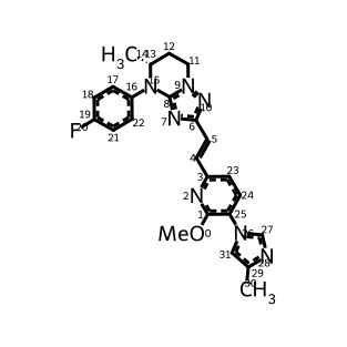 COc1nc(/C=C/c2nc3n(n2)CC[C@@H](C)N3c2ccc(F)cc2)ccc1-n1cnc(C)c1